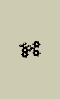 O=C(O)c1cc2ccccc2c(N=NN(c2ccccc2)c2ccccc2)c1O